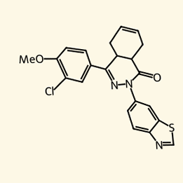 COc1ccc(C2=NN(c3ccc4ncsc4c3)C(=O)C3CC=CCC23)cc1Cl